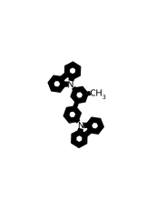 Cc1cc(-c2cccc(-n3c4ccccc4c4ccccc43)c2)cc(-n2c3ccccc3c3ccccc32)c1